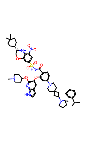 CC(C)c1ccccc1[C@@H]1CCCN1C1CC2(CCN(c3ccc(C(=O)NS(=O)(=O)c4cc5c(c([N+](=O)[O-])c4)N[C@@H](C4CCC(C)(C)CC4)CO5)c(Oc4cc5cc[nH]c5nc4OC4CCN(C)CC4)c3)CC2)C1